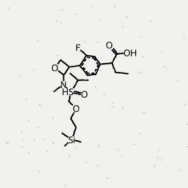 CCC(C(=O)O)c1ccc(C2COC2N(C)[SH](=O)(COCC[Si](C)(C)C)C(C)C)c(F)c1